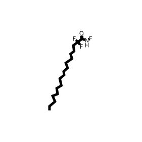 CCCCCCCCCCCCCCCCC(F)(F)C(=O)NF